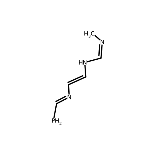 C/N=C\N/C=C/N=C/P